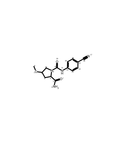 COC1CC(C(N)=O)N(C(=O)Nc2ccc(C#N)cc2)C1